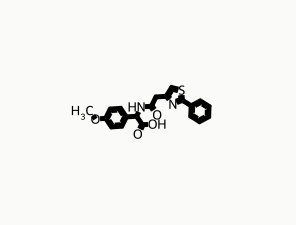 COc1ccc(C(NC(=O)Cc2csc(-c3ccccc3)n2)C(=O)O)cc1